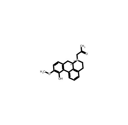 COc1ccc2c(c1O)-c1cccc3c1[C@@H](C2)N(CC(C)=O)CC3